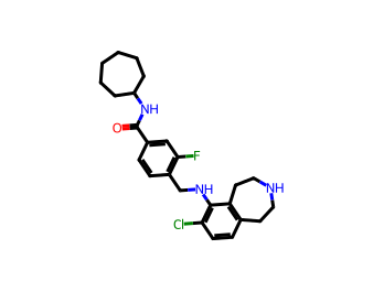 O=C(NC1CCCCCC1)c1ccc(CNc2c(Cl)ccc3c2CCNCC3)c(F)c1